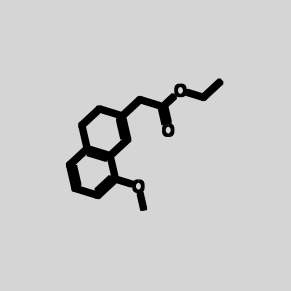 CCOC(=O)CC1=Cc2c(cccc2OC)CC1